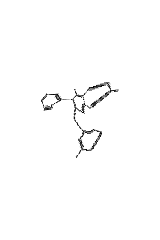 Cc1cccc(Cc2cc3cc(C)ccc3c(C)c2-c2ccccc2)c1